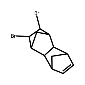 BrC1C(Br)C2CC1C1C3C=CC(C3)C21